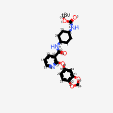 CC(C)(C)OC(=O)NC1CCC(NC(=O)c2cccnc2Oc2ccc3c(c2)OCO3)CC1